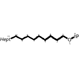 C[CH]COCCCCCCCCCCCCCCCC